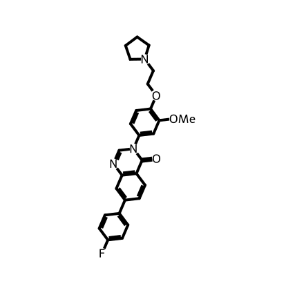 COc1cc(-n2cnc3cc(-c4ccc(F)cc4)ccc3c2=O)ccc1OCCN1CCCC1